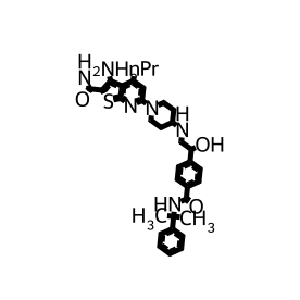 CCCc1cc(N2CCC(NCC(O)c3ccc(C(=O)NC(C)(C)c4ccccc4)cc3)CC2)nc2sc(C(N)=O)c(N)c12